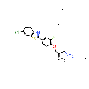 C=C(CN)COc1ccc(-c2nc3ccc(Cl)cc3s2)cc1F